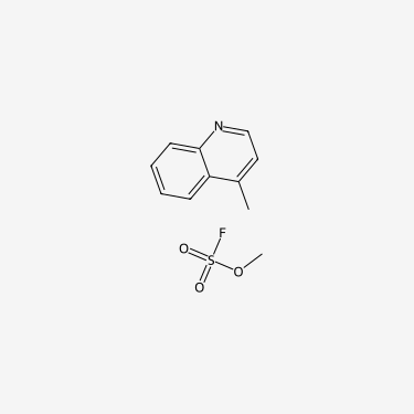 COS(=O)(=O)F.Cc1ccnc2ccccc12